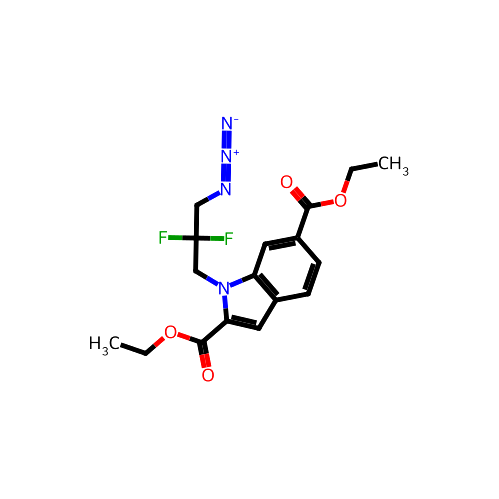 CCOC(=O)c1ccc2cc(C(=O)OCC)n(CC(F)(F)CN=[N+]=[N-])c2c1